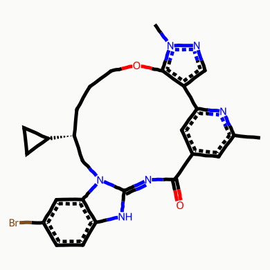 Cc1cc2cc(n1)-c1cnn(C)c1OCCC[C@@H](C1CC1)CN1/C(=N/C2=O)Nc2ccc(Br)cc21